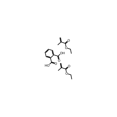 C=C(C)C(=O)OCC.C=C(C)C(=O)OCC.O=C(O)c1ccccc1C(=O)O